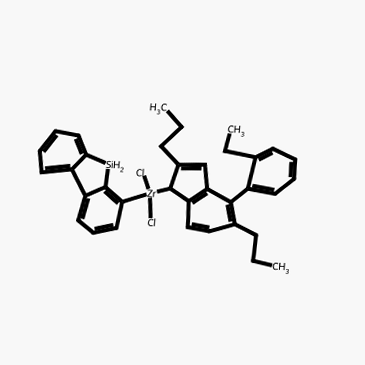 CCCC1=Cc2c(ccc(CCC)c2-c2ccccc2CC)[CH]1[Zr]([Cl])([Cl])[c]1cccc2c1[SiH2]c1ccccc1-2